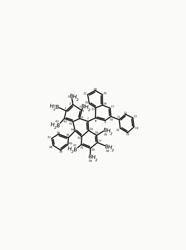 Bc1c(B)c(B)c2c(-c3cc(-c4ccccc4)cc4ccccc34)c3c(B)c(B)c(B)c(B)c3c(-c3ccccc3)c2c1B